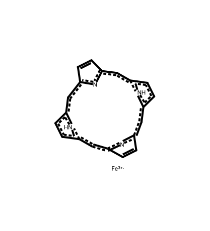 C1=Cc2cc3ccc(cc4nc(cc5ccc(cc1n2)[nH]5)C=C4)[nH]3.[Fe+3]